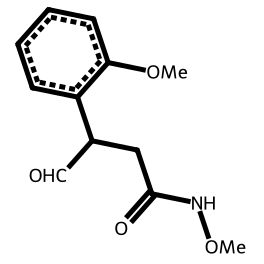 CONC(=O)CC(C=O)c1ccccc1OC